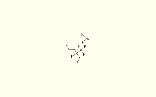 C=C(F)F.FCCC(F)(CF)C(F)(F)F